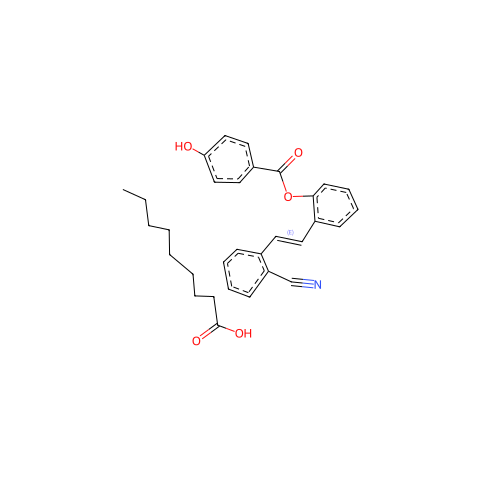 CCCCCCCCC(=O)O.N#Cc1ccccc1/C=C/c1ccccc1OC(=O)c1ccc(O)cc1